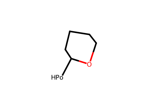 [PoH][CH]1CCCCO1